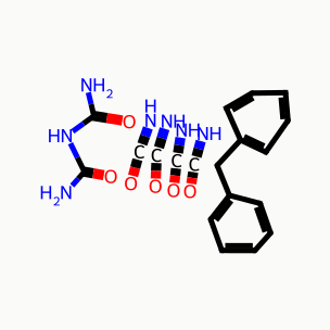 N=C=O.N=C=O.N=C=O.N=C=O.NC(=O)NC(N)=O.c1ccc(Cc2ccccc2)cc1